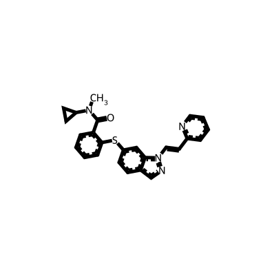 CN(C(=O)c1ccccc1Sc1ccc2cnn(C=Cc3ccccn3)c2c1)C1CC1